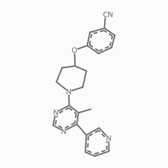 Cc1c(-c2cccnc2)ncnc1N1CCC(Oc2cccc(C#N)c2)CC1